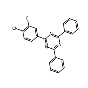 Fc1cc(-c2nc(-c3ccccc3)nc(-c3ccccc3)n2)ccc1Cl